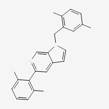 CCc1cccc(CC)c1-c1cc2ccn(Cc3cc(C)ccc3C)c2cn1